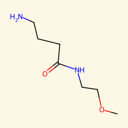 COCCNC(=O)CCCN